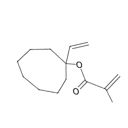 C=CC1(OC(=O)C(=C)C)CCCCCCC1